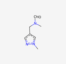 CN(C=O)Cc1cnn(C)c1